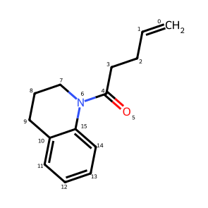 C=CCCC(=O)N1CCCc2ccccc21